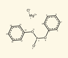 [Cl-].[Mg+2].[O-]P(Oc1ccccc1)Oc1ccccc1